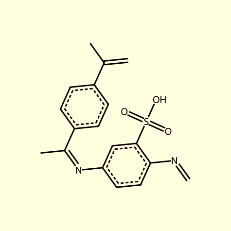 C=Nc1ccc(N=C(C)c2ccc(C(=C)C)cc2)cc1S(=O)(=O)O